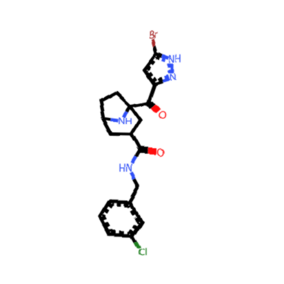 O=C(NCc1cccc(Cl)c1)C1CC2CCC(C(=O)c3cc(Br)[nH]n3)(C1)N2